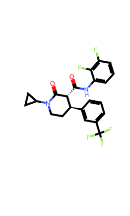 O=C(Nc1cccc(F)c1F)[C@H]1C(=O)N(C2CC2)CC[C@@H]1c1cccc(C(F)(F)F)c1